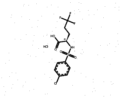 Cl.O=C(O)[C@@H](CCC(F)(F)F)NS(=O)(=O)c1ccc(Cl)cc1